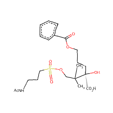 CC(=O)NCCCS(=O)(=O)OCC(C)(C)[C@](O)(CCCOC(=O)c1ccccc1)C(=O)O